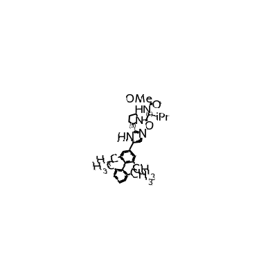 COC(=O)N[C@H](C(=O)N1CCC[C@H]1c1ncc(-c2cc(C)c(-c3c(C)cccc3C)c(C)c2)[nH]1)C(C)C